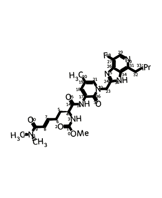 COC(=O)N[C@@H](CC/C=C/C(=O)N(C)C)C(=O)Nc1cc(C)cn(Cc2nc3c(F)cnc(CC(C)C)c3[nH]2)c1=O